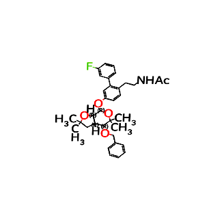 CC(=O)NCCc1ccc(O[C@@H]2OC(C)(C)[C@H](OCc3ccccc3)[C@H]3CC(C)(C)O[C@@H]23)cc1-c1cccc(F)c1